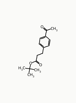 CC(=O)c1ccc(CCC(=O)OC(C)(C)C)cc1